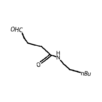 CCCCCNC(=O)CCC=O